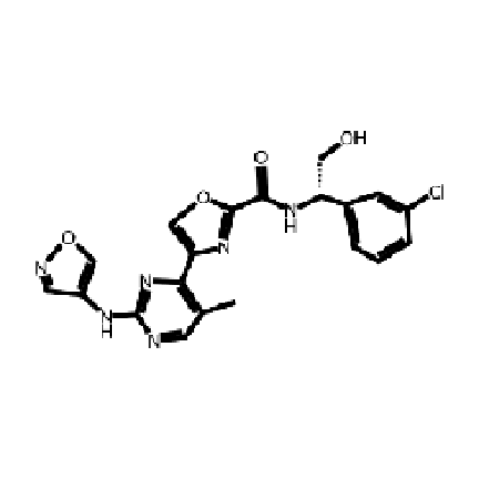 Cc1cnc(Nc2cnoc2)nc1-c1coc(C(=O)N[C@H](CO)c2cccc(Cl)c2)n1